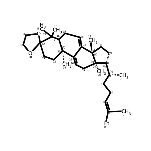 CCC(C)=CCC[C@@H](C)[C@H]1CC[C@@]2(C)C3=CCC4C(C)(C)C5(CC[C@]4(C)C3=CC[C@]12C)OCCO5